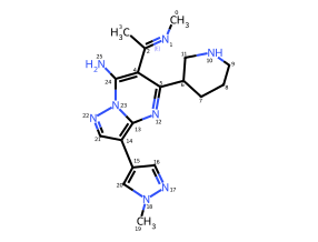 C/N=C(\C)c1c(C2CCCNC2)nc2c(-c3cnn(C)c3)cnn2c1N